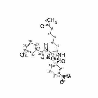 CC(=O)CCCCC[C@H](NS(=O)(=O)c1cccc([N+](=O)[O-])c1)c1ncc(-c2cccc(Cl)c2)[nH]1